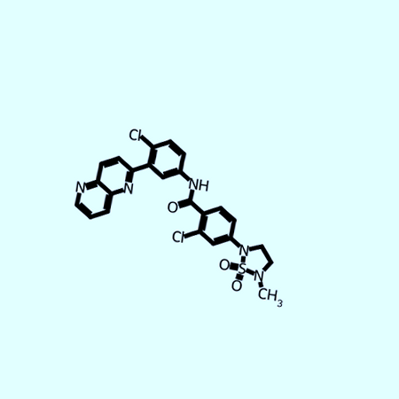 CN1CCN(c2ccc(C(=O)Nc3ccc(Cl)c(-c4ccc5ncccc5n4)c3)c(Cl)c2)S1(=O)=O